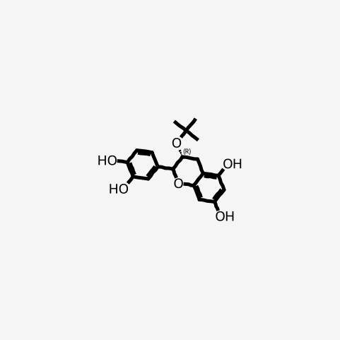 CC(C)(C)O[C@@H]1Cc2c(O)cc(O)cc2OC1c1ccc(O)c(O)c1